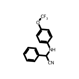 N#CC(Nc1ccc(OC(F)(F)F)cc1)c1ccccc1